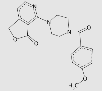 COc1ccc(C(=O)N2CCN(c3nccc4c3C(=O)OC4)CC2)cc1